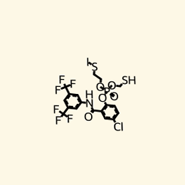 O=C(Nc1cc(C(F)(F)F)cc(C(F)(F)F)c1)c1cc(Cl)ccc1OP(=O)(OCS)OCCSI